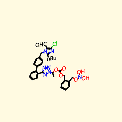 CCCCc1nc(Cl)c(C=O)n1Cc1ccc(-c2ccccc2-c2nnn(C(C)OC(=O)OCc3ccccc3CON(O)O)n2)cc1